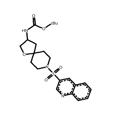 CC(C)(C)OC(=O)NC1COC2(CCN(S(=O)(=O)c3cnc4ccccc4c3)CC2)C1